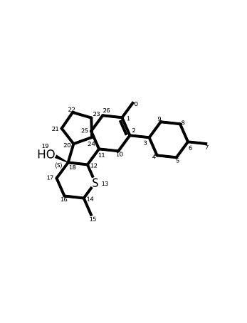 CC1=C(C2CCC(C)CC2)CC(C2SC(C)CC[C@]2(O)C2CCCC2)CC1